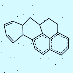 C1=CC2CC3CCc4cccc5ccc(c3c45)C2C=C1